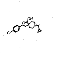 O=C(O)C1(CCc2ccc(Cl)cc2)CCN(CC2CC2)CC1